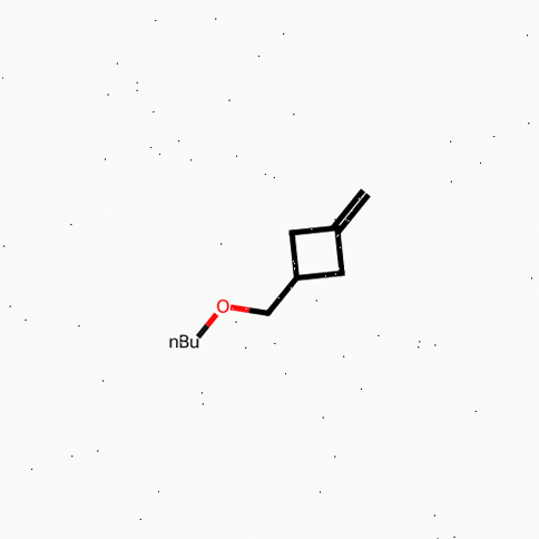 C=C1CC(COCCCC)C1